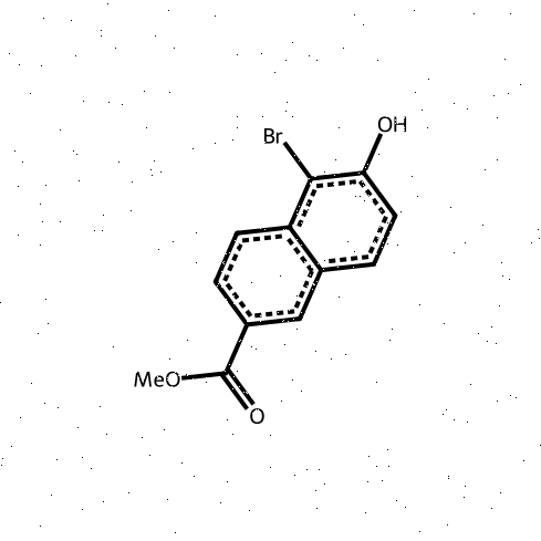 COC(=O)c1ccc2c(Br)c(O)ccc2c1